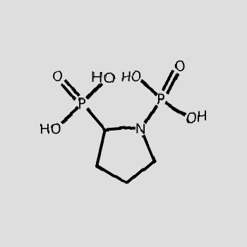 O=P(O)(O)C1CCCN1P(=O)(O)O